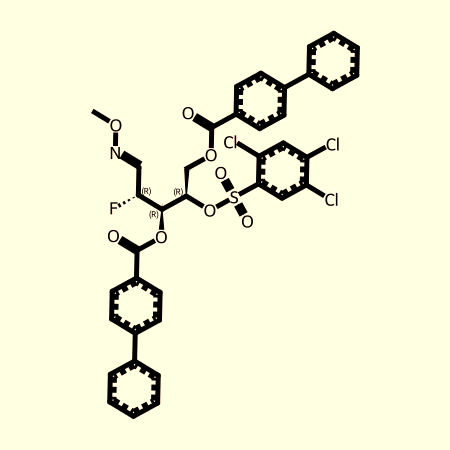 CON=C[C@@H](F)[C@H](OC(=O)c1ccc(-c2ccccc2)cc1)[C@@H](COC(=O)c1ccc(-c2ccccc2)cc1)OS(=O)(=O)c1cc(Cl)c(Cl)cc1Cl